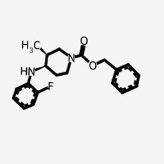 C[C@H]1CN(C(=O)OCc2ccccc2)CC[C@H]1Nc1ccccc1F